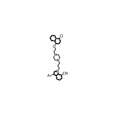 CC(=O)c1cn(CCCN2CCN(CCOc3ccc(Cl)c4ccccc34)CC2)c2c(C#N)cccc12